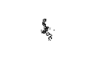 N#Cc1c(Nc2ccc(Oc3ccncc3)cc2)nn2c(N)nc(N3CCN(Cc4ccccc4)CC3)nc12